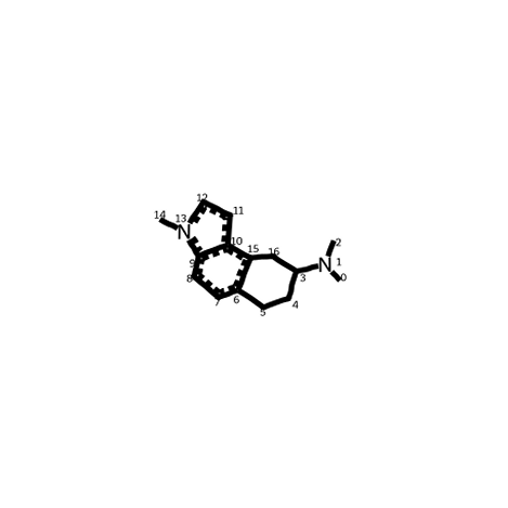 CN(C)C1CCc2ccc3c(ccn3C)c2C1